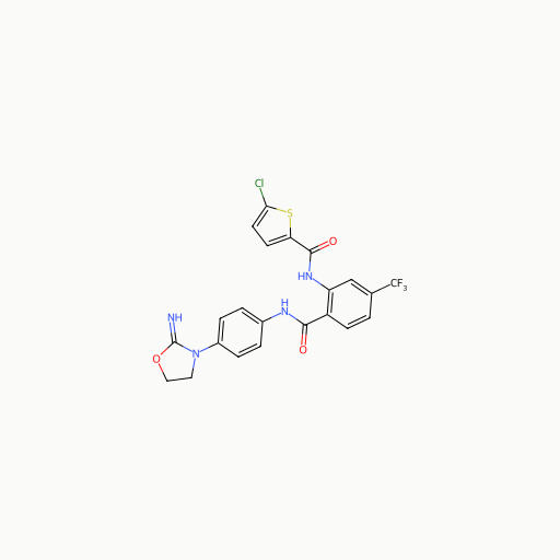 N=C1OCCN1c1ccc(NC(=O)c2ccc(C(F)(F)F)cc2NC(=O)c2ccc(Cl)s2)cc1